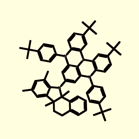 Cc1cc(C)c2c(c1)C1(C)CCc3ccccc3C1(C)N2c1cc2c3c(c1)N(c1ccc(C(C)(C)C)cc1)c1ccc(C(C)(C)C)cc1B3c1cc(C(C)(C)C)ccc1N2c1ccc(C(C)(C)C)cc1